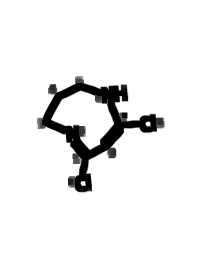 ClC1=N\CCCN/C(Cl)=C\1